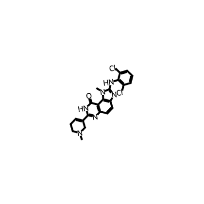 CN1CCC=C(c2nc3ccc4nc(Nc5c(Cl)cccc5Cl)n(C)c4c3c(=O)[nH]2)C1